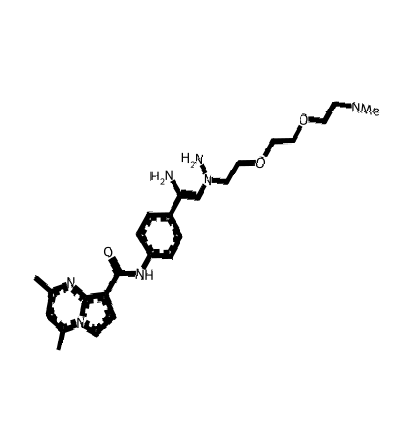 CNCCOCCOCCN(N)/C=C(\N)c1ccc(NC(=O)c2ccn3c(C)cc(C)nc23)cc1